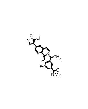 CNC(=O)c1cc(F)cc(C(C)n2ccc3cc(-c4cn[nH]c4Cl)ccc3c2=O)c1